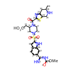 COC(=O)NC(=N)c1ccc2cc(S(=O)(=O)N3CCN(C(=O)c4nc5c(s4)CNC(C)C5)C(CC(=O)O)C3)[nH]c2c1